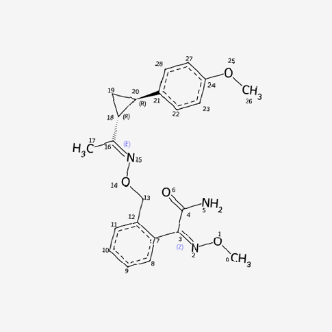 CO/N=C(\C(N)=O)c1ccccc1CO/N=C(\C)[C@@H]1C[C@H]1c1ccc(OC)cc1